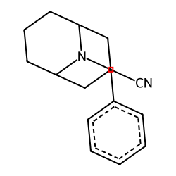 N#CC1CC2CCCC(C1)N2Cc1ccccc1